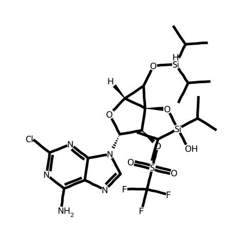 CC(C)[SiH](OC1[C@H]2O[C@@H](n3cnc4c(N)nc(Cl)nc43)[C@H](OS(=O)(=O)C(F)(F)F)[C@@]12O[Si](O)(C(C)C)C(C)C)C(C)C